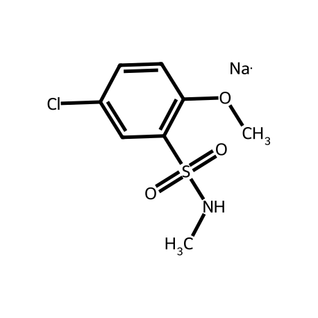 CNS(=O)(=O)c1cc(Cl)ccc1OC.[Na]